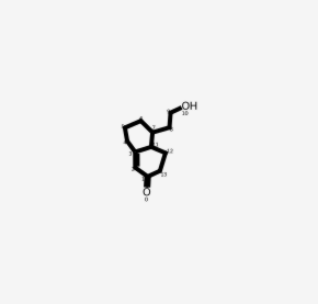 O=C1C=C2CCCC(CCO)C2CC1